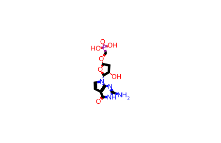 Nc1nc2c(ccn2[C@@H]2O[C@H](OCP(=O)(O)O)C[C@@H]2O)c(=O)[nH]1